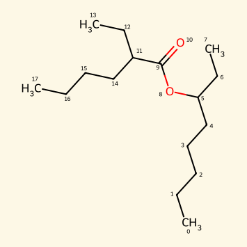 CCCCCC(CC)OC(=O)C(CC)CCCC